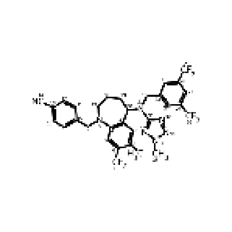 Cc1cc2c(cc1C(F)(F)F)N(Cc1ccc(C#N)cc1)CCCC2N(Cc1cc(C(F)(F)F)cc(C(F)(F)F)c1)c1nnn(C)n1